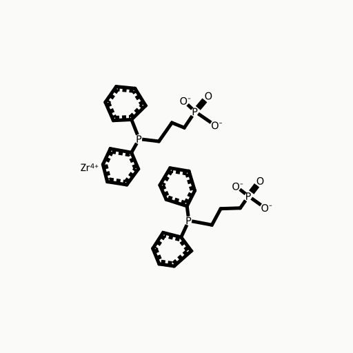 O=P([O-])([O-])CCCP(c1ccccc1)c1ccccc1.O=P([O-])([O-])CCCP(c1ccccc1)c1ccccc1.[Zr+4]